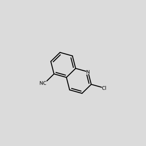 N#Cc1cccc2nc(Cl)ccc12